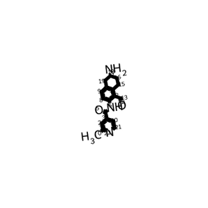 Cc1cc(C(=O)Nc2ccc3c(c2C=O)CC[C@H](N)C3)ccn1